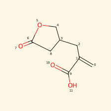 C=C(CC1COC(=O)C1)C(=O)O